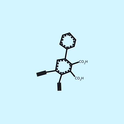 C#Cc1cc(-c2ccccc2)c(C(=O)O)c(C(=O)O)c1C#C